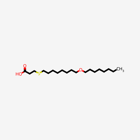 CCCCCCCCOCCCCCCCCSCCC(=O)O